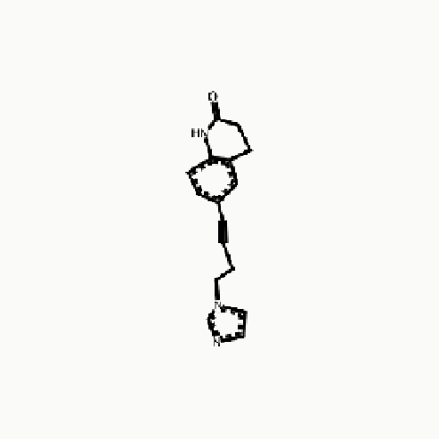 O=C1CCc2cc(C#CCCn3ccnc3)ccc2N1